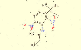 CCC(C)Nc1c([N+](=O)[O-])ccc(C(C)(C)C)c1[N+](=O)[O-]